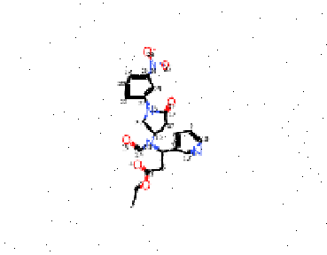 CCOC(=O)CC(c1cccnc1)N(C=O)C1CC(=O)N(c2cccc([N+](=O)[O-])c2)C1